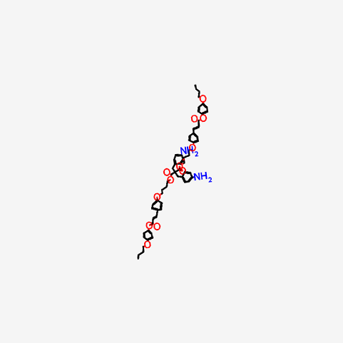 CCCCOc1ccc(OC(=O)/C=C/c2ccc(OCCCCOC(=O)C(Cc3ccc(N)cc3)(Cc3ccc(N)cc3)C(=O)OCCCCOc3ccc(/C=C/C(=O)Oc4ccc(OCCCC)cc4)cc3)cc2)cc1